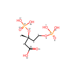 C[C@@](CCOP(=O)(O)O)(CC(=O)O)OP(=O)(O)O